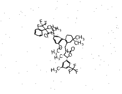 COc1ccc(N(C)C(=O)[C@](C)(c2ccccc2)C(F)(F)F)cc1C1=C(CN2C(=O)O[C@H](c3cc(C)cc(C(F)(F)F)c3)[C@@H]2C)CC(C)(C)CC1